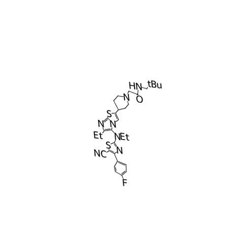 CCc1nc2sc(C3CCN(CC(=O)NCC(C)(C)C)CC3)cn2c1N(CC)c1nc(-c2ccc(F)cc2)c(C#N)s1